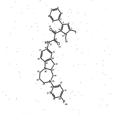 Cc1cc(-c2ccccc2)c(C(=O)C(=O)Nc2ccc3c(c2)CC2CN(c4ncc(F)cn4)CCCN32)n1C